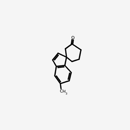 Cc1ccc2c(c1)C=CC21CCCC(=O)C1